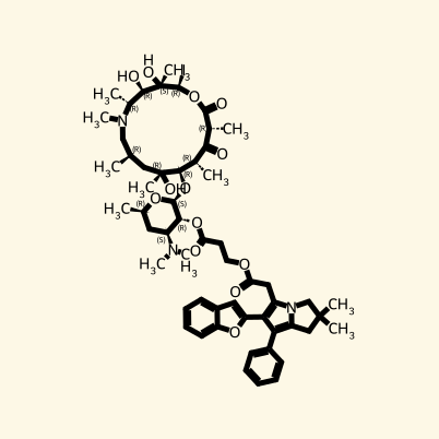 C[C@H]1CN(C)[C@H](C)[C@@H](O)[C@](C)(O)[C@@H](I)OC(=O)[C@H](C)C(=O)[C@H](C)[C@@H](O[C@@H]2O[C@H](C)C[C@H](N(C)C)[C@H]2OC(=O)CCOC(=O)Cc2c(-c3cc4ccccc4o3)c(-c3ccccc3)c3n2CC(C)(C)C3)[C@](C)(O)C1